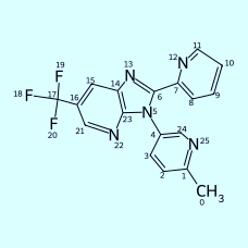 Cc1ccc(-n2c(-c3ccccn3)nc3cc(C(F)(F)F)cnc32)cn1